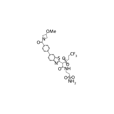 COC1CN(C(=O)c2ccc(-c3ccc4nc(C(C(=O)NCCS(N)(=O)=O)S(=O)(=O)CCC(F)(F)F)sc4c3)cc2)C1